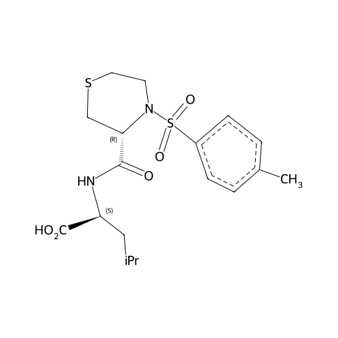 Cc1ccc(S(=O)(=O)N2CCSC[C@H]2C(=O)N[C@@H](CC(C)C)C(=O)O)cc1